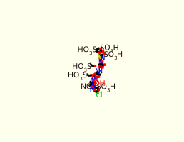 Cc1cc(N=Nc2cc(OCCCS(=O)(=O)O)c(N=Nc3c(C)c(C#N)c4nc5cc(Cl)cc(S(=O)(=O)O)c5n4c3O)cc2C)c(SCCCS(=O)(=O)O)cc1N=Nc1nc2c(S(=O)(=O)O)cc3c(S(=O)(=O)O)cc(S(=O)(=O)O)cc3c2s1